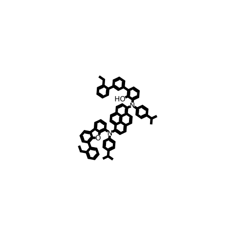 CCc1ccccc1-c1cccc(-c2cccc(N(c3ccc(C(C)C)cc3)c3ccc4ccc5c(N(c6ccc(C(C)C)cc6)c6cccc7c6oc6c(-c8ccccc8CC)cccc67)ccc6ccc3c4c65)c2O)c1